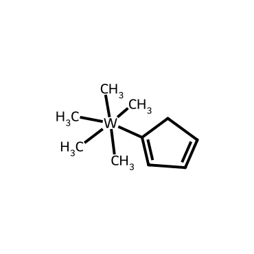 [CH3][W]([CH3])([CH3])([CH3])([CH3])[C]1=CC=CC1